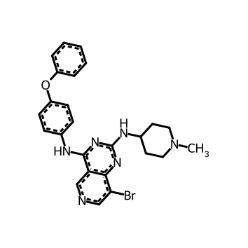 CN1CCC(Nc2nc(Nc3ccc(Oc4ccccc4)cc3)c3cncc(Br)c3n2)CC1